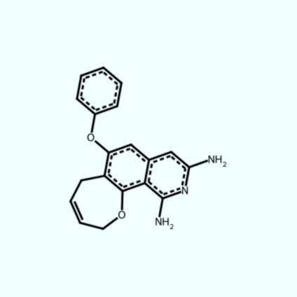 Nc1cc2cc(Oc3ccccc3)c3c(c2c(N)n1)OCC=CC3